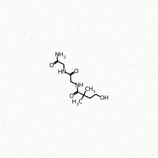 CC(C)(CCO)C(=O)NCC(=O)NCC(N)=O